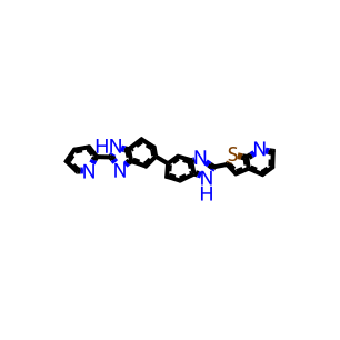 c1ccc(-c2nc3cc(-c4ccc5[nH]c(-c6cc7cccnc7s6)nc5c4)ccc3[nH]2)nc1